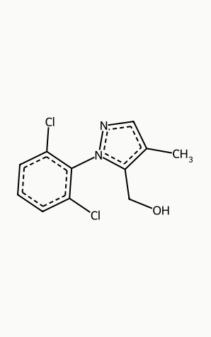 Cc1cnn(-c2c(Cl)cccc2Cl)c1CO